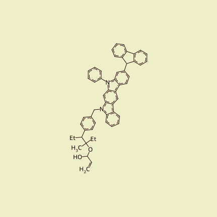 C=CC(O)OC(C)(CC)C(CC)c1ccc(Cn2c3ccccc3c3cc4c5ccc(C6c7ccccc7-c7ccccc76)cc5n(-c5ccccc5)c4cc32)cc1